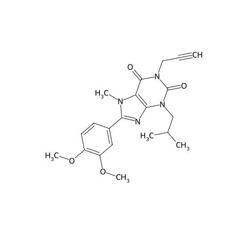 C#CCn1c(=O)c2c(nc(-c3ccc(OC)c(OC)c3)n2C)n(CC(C)C)c1=O